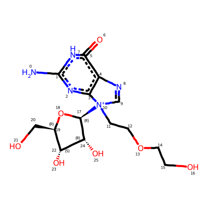 Nc1nc2c(c(=O)[nH]1)N=C[N+]2(CCOCCO)[C@@H]1O[C@H](CO)[C@@H](O)[C@H]1O